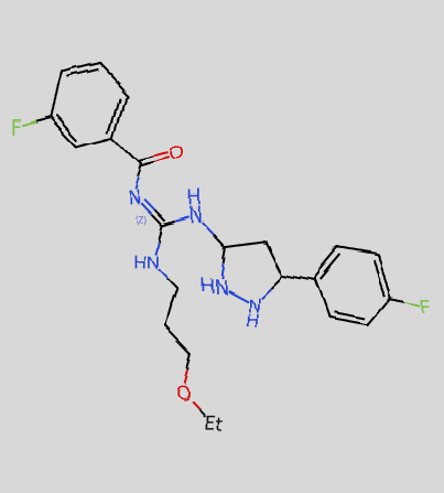 CCOCCCN/C(=N/C(=O)c1cccc(F)c1)NC1CC(c2ccc(F)cc2)NN1